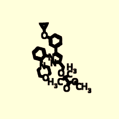 COC(=O)C(C)(C)OCc1cc(-c2cccc(OC3CC3)c2)n(-c2ccccc2N2CCOCC2)n1